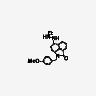 CCNNc1ccc2c3c(cccc13)C(=O)N2Cc1ccc(OC)cc1